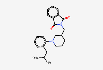 CCCC(C=O)Cc1ccccc1N1CCCC(CN2C(=O)c3ccccc3C2=O)C1